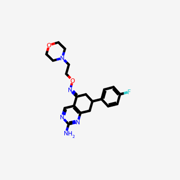 Nc1ncc2c(n1)CC(c1ccc(F)cc1)CC2=NOCCN1CCOCC1